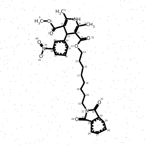 COC(=O)C1=C(C)NC(C)=C(C(=O)OCCCCCCCCN2C(=O)c3ccccc3C2=O)C1c1cccc([N+](=O)[O-])c1